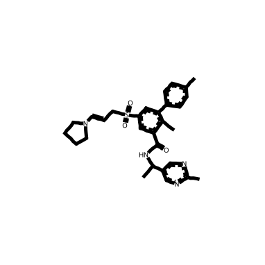 Cc1ccc(-c2cc(S(=O)(=O)CC=CN3CCCC3)cc(C(=O)NC(C)c3cnc(C)nc3)c2C)cc1